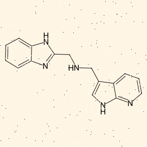 c1ccc2[nH]c(CNCc3c[nH]c4ncccc34)nc2c1